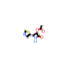 CC(=O)O[C@H]1C(=O)N[C@@H]1c1cncs1